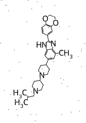 Cc1cc(C2CCN(C3CCN(CC(C)C)CC3)CC2)cc2[nH]c(-c3ccc4c(c3)OCCO4)nc12